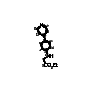 CCOC(=O)CNc1ccc(-c2ccncc2)cc1